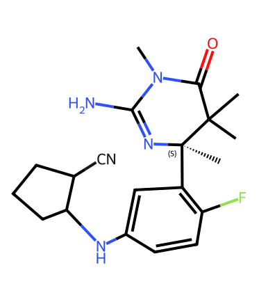 CN1C(=O)C(C)(C)[C@@](C)(c2cc(NC3CCCC3C#N)ccc2F)N=C1N